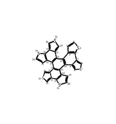 c1cc2c(s1)c1cscc1c1c2c2c3cscc3c3sccc3c2c2c3cscc3c3sccc3c12